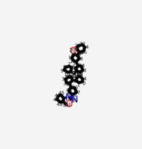 c1ccc([Si](c2ccccc2)(c2cccc(-c3ccc4oc5ccccc5c4c3)c2)c2cccc(-c3ccc4nc5n(c4c3)-c3ccccc3CO5)c2)cc1